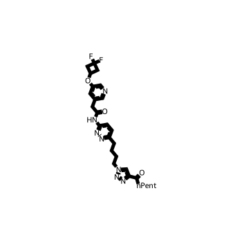 CCCCCC(=O)c1cn(CCCCc2ccc(NC(=O)Cc3cncc(OC4CC(F)(F)C4)c3)nn2)nn1